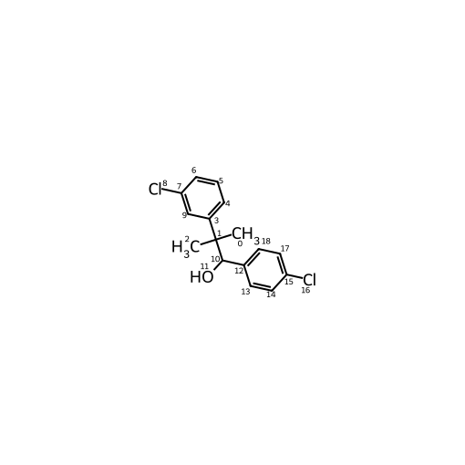 CC(C)(c1cccc(Cl)c1)C(O)c1ccc(Cl)cc1